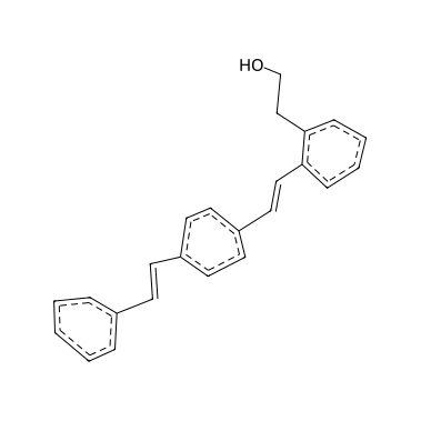 OCCc1ccccc1C=Cc1ccc(/C=C/c2ccccc2)cc1